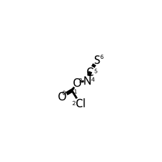 O=C(Cl)ON=C=S